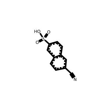 N#Cc1ccc2cc(S(=O)(=O)O)ccc2c1